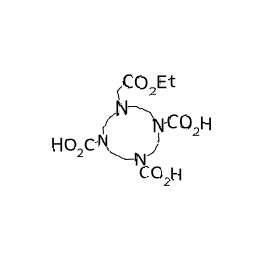 CCOC(=O)CN1CCN(C(=O)O)CCN(C(=O)O)CCN(C(=O)O)CC1